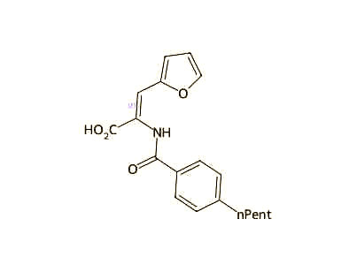 CCCCCc1ccc(C(=O)N/C(=C\c2ccco2)C(=O)O)cc1